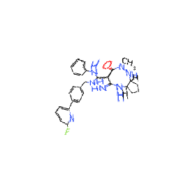 CN1N[C@@H]2CCC[C@@H]2NC(=N)/C(=C(\NCc2ccc(-c3cccc(F)n3)cc2)Nc2ccccc2)C1=O